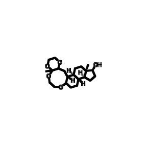 CC12OCCOC3CC[C@@H]4[C@H](CC[C@]5(C)[C@@H](O)CC[C@@H]45)[C@H]3CC1OCCO2